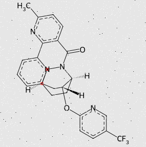 Cc1ccc(C(=O)N2C[C@@H]3CC[C@H]2[C@H](Oc2ccc(C(F)(F)F)cn2)C3)c(-c2ccccn2)n1